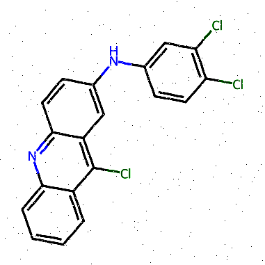 Clc1ccc(Nc2ccc3nc4ccccc4c(Cl)c3c2)cc1Cl